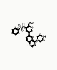 COc1ncc(-c2ccc3ncnc(N4CCNCC4)c3c2)cc1NS(=O)(=O)c1ccccc1